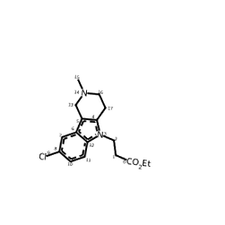 CCOC(=O)CCn1c2c(c3cc(Cl)ccc31)CN(C)CC2